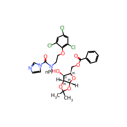 CC1(C)O[C@H]2O[C@H](COC(=O)c3ccccc3)[C@H](O)[C@H]2O1.CCCN(CCOc1c(Cl)cc(Cl)cc1Cl)C(=O)n1ccnc1